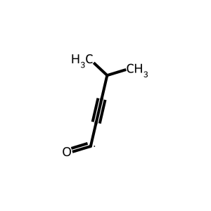 CC(C)C#C[C]=O